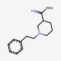 CNC(=N)C1CCCN(CCc2ccccc2)C1